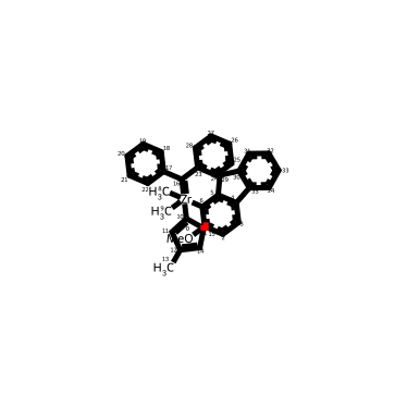 COc1ccc2c([c]1[Zr]([CH3])([CH3])([C]1=CC(C)=CC1)=[C](c1ccccc1)c1ccccc1)Cc1ccccc1-2